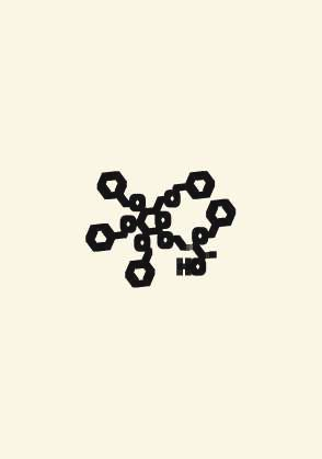 C[C@@H](O)[C@H](CCO[C@H]1OC(COCc2ccccc2)[C@H](OCc2ccccc2)C(OCc2ccccc2)C1OCc1ccccc1)OCc1ccccc1